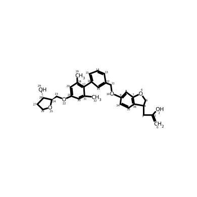 C=C(O)CC1COc2cc(OCc3cccc(-c4c(C)cc(OC[C@H]5OCC[C@@H]5O)cc4C)c3)ccc21